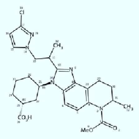 COC(=O)N1c2ccc3c(nc(C(C)Cn4ccc(Cl)n4)n3[C@@H]3CCC[C@@H](C(=O)O)C3)c2CCC1C